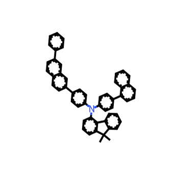 CC1(C)c2ccccc2-c2c(N(c3ccc(-c4ccc5ccc(-c6ccccc6)cc5c4)cc3)c3ccc(-c4cccc5ccccc45)cc3)cccc21